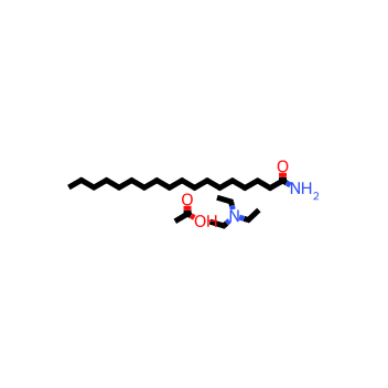 CC(=O)O.CCCCCCCCCCCCCCCCCC(N)=O.CCN(CC)CC